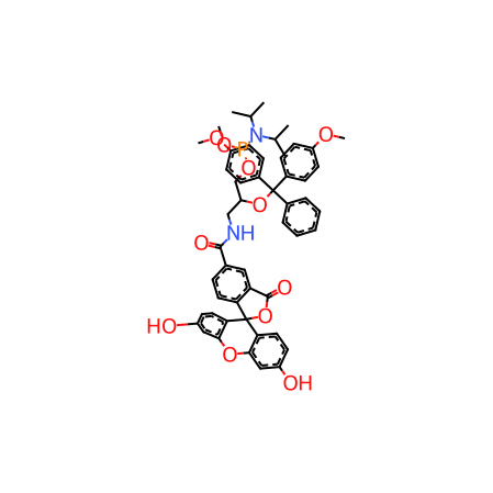 COc1ccc(C(OC(CNC(=O)c2ccc3c(c2)C(=O)OC32c3ccc(O)cc3Oc3cc(O)ccc32)COP(OC)N(C(C)C)C(C)C)(c2ccccc2)c2ccc(OC)cc2)cc1